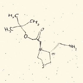 CC(C)(C)OC(=O)N1CSC[C@H]1CN